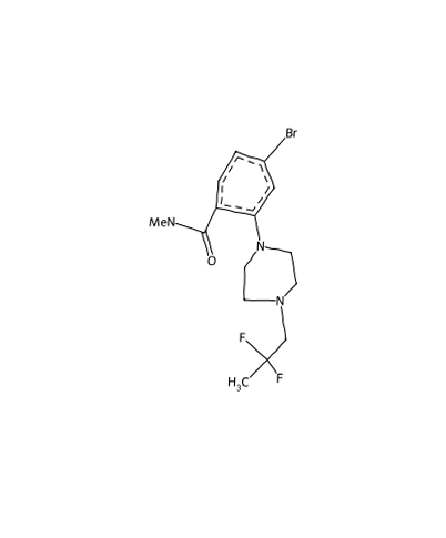 CNC(=O)c1ccc(Br)cc1N1CCN(CC(C)(F)F)CC1